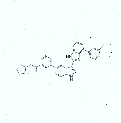 Fc1cccc(-c2cccc3[nH]c(-c4n[nH]c5ccc(-c6cncc(NCC7CCCC7)c6)cc45)nc23)c1